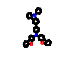 c1ccc(-n2c3ccccc3c3cc(-c4ccc(N(c5ccc6c(c5)oc5ccccc56)c5ccc6c(c5)oc5ccccc56)cc4)ccc32)cc1